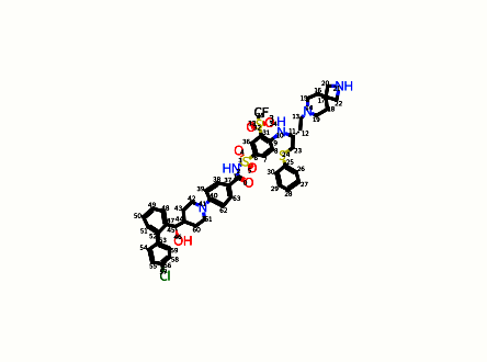 O=C(NS(=O)(=O)c1ccc(N[C@H](CCN2CCC3(CC2)CNC3)CSc2ccccc2)c(S(=O)(=O)C(F)(F)F)c1)c1ccc(N2CCC([C@@H](O)c3ccccc3-c3ccc(Cl)cc3)CC2)cc1